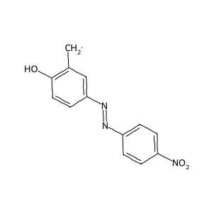 [CH2]c1cc(N=Nc2ccc([N+](=O)[O-])cc2)ccc1O